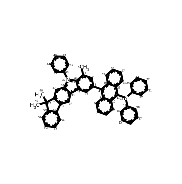 Cc1cc(-c2c3ccccc3c(N(c3ccccc3)c3ccccc3)c3ccccc23)cc2c3cc4c(cc3n(-c3ccccc3)c12)C(C)(C)c1ccccc1-4